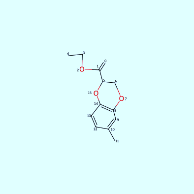 C=C(OCC)C1COc2cc(C)ccc2O1